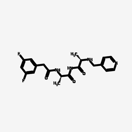 C[C@H](NCc1ccncc1)C(=O)NC(=O)[C@H](C)NC(=O)Cc1cc(F)cc(F)c1